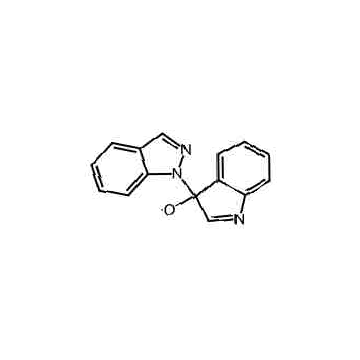 [O]C1(n2ncc3ccccc32)C=Nc2ccccc21